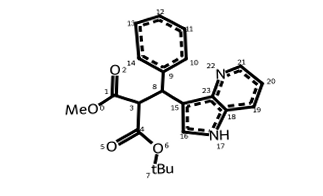 COC(=O)C(C(=O)OC(C)(C)C)C(c1ccccc1)c1c[nH]c2cccnc12